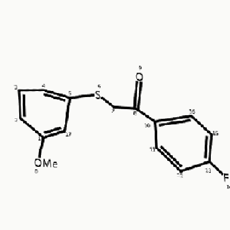 COc1cccc(SCC(=O)c2ccc(F)cc2)c1